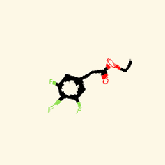 CCOC(=O)Cc1cc(F)c(F)c(F)c1